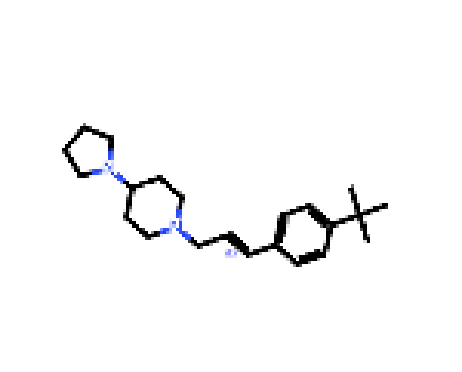 CC(C)(C)c1ccc(/C=C/CN2CCC(N3CCCC3)CC2)cc1